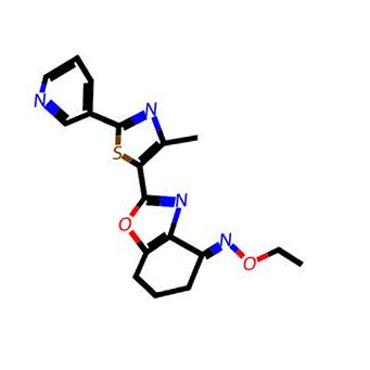 CCO/N=C1\CCCc2oc(-c3sc(-c4cccnc4)nc3C)nc21